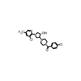 O=C(c1ccc(Cl)cc1)N1CCN(C2CN(c3ncc(C(F)(F)F)cc3Cl)C[C@@H]2O)CC1